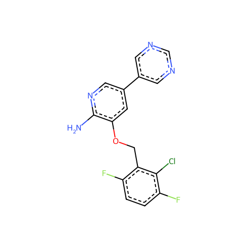 Nc1ncc(-c2cncnc2)cc1OCc1c(F)ccc(F)c1Cl